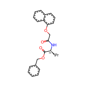 CC(C)[C@H](NC(=O)COc1cccc2ccccc12)C(=O)OCc1ccccc1